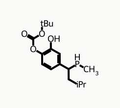 CPC(CC(C)C)c1ccc(OC(=O)OC(C)(C)C)c(O)c1